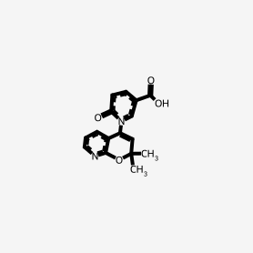 CC1(C)C=C(n2cc(C(=O)O)ccc2=O)c2cccnc2O1